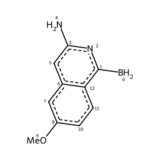 Bc1nc(N)cc2cc(OC)ccc12